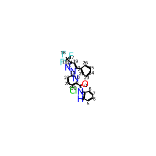 O=C(Nc1ccccc1)c1nc(-n2nc(C(F)(F)F)cc2-c2ccccc2)ccc1Cl